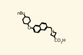 CCCCC1CCC(Oc2ccc3cc(CN4CC(C(=O)O)C4)ccc3c2)CC1